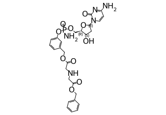 Nc1ccn([C@H]2C[C@H](O)[C@@H](COP(N)(=O)Oc3cccc(COC(=O)CNCC(=O)OCc4ccccc4)c3)O2)c(=O)n1